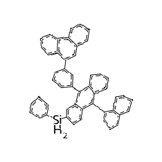 c1ccc([SiH2]c2ccc3c(-c4cccc5ccccc45)c4ccccc4c(-c4cccc(-c5cc6ccccc6c6ccccc56)c4)c3c2)cc1